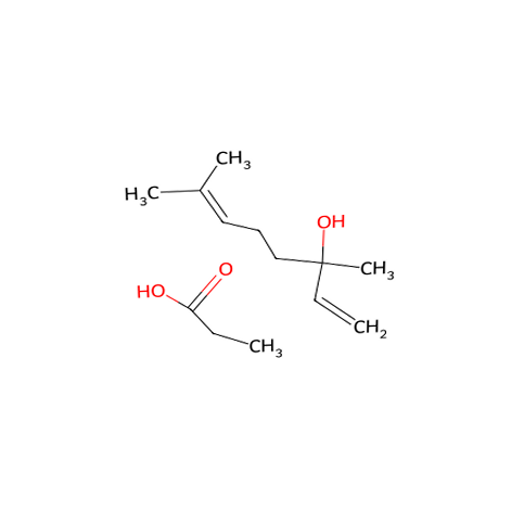 C=CC(C)(O)CCC=C(C)C.CCC(=O)O